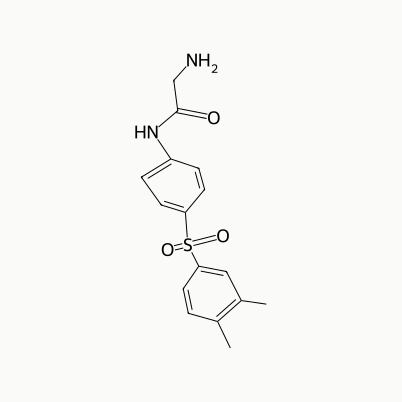 Cc1ccc(S(=O)(=O)c2ccc(NC(=O)CN)cc2)cc1C